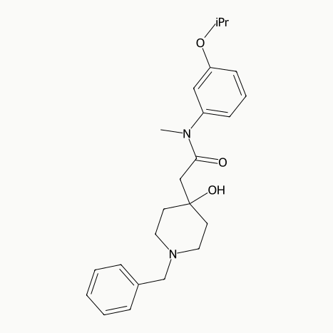 CC(C)Oc1cccc(N(C)C(=O)CC2(O)CCN(Cc3ccccc3)CC2)c1